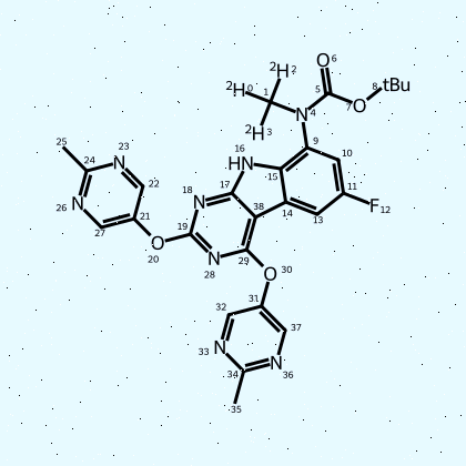 [2H]C([2H])([2H])N(C(=O)OC(C)(C)C)c1cc(F)cc2c1[nH]c1nc(Oc3cnc(C)nc3)nc(Oc3cnc(C)nc3)c12